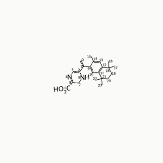 C=C(C1=CN=C(C(=O)O)CN1)c1cc2c(cc1C)C(C)(C)CCC2(C)C